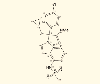 CNC(=O)C(CC1CC1)(c1ccc(Cl)cc1)n1ccc2c(NS(C)(=O)=O)cccc21